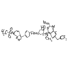 CNc1nc(N(C)[C@H]2C[C@@H](NCc3ccc(-c4cncc5c4ccn5S(C)(=O)=O)cc3)C[C@H]2O)c2cc(CC(F)(F)F)sc2n1